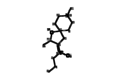 CCC/[N+]([O-])=C1/CC2(CCN(C)CC2)OC1C